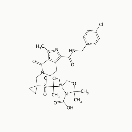 Cn1nc(C(=O)NCc2ccc(Cl)cc2)c2c1C(=O)N(CC1(S(=O)(=O)C(C)(C)[C@H]3COC(C)(C)N3C(=O)O)CC1)CC2